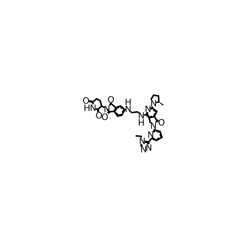 CCn1cnnc1-c1cccc(N2Cc3c(cc(N4CCC[C@H]4C)nc3NCCNc3ccc4c(c3)C(=O)N(C3CCC(=O)NC3=O)C4=O)C2=O)n1